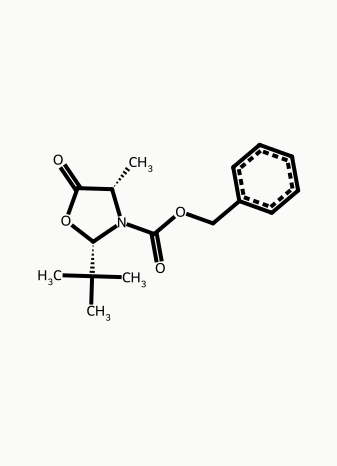 C[C@H]1C(=O)O[C@@H](C(C)(C)C)N1C(=O)OCc1ccccc1